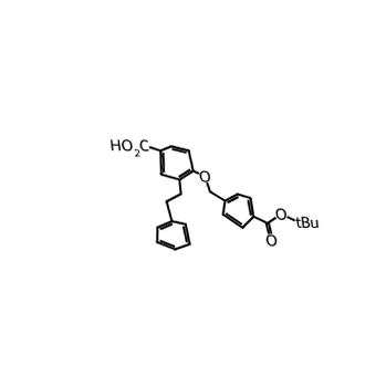 CC(C)(C)OC(=O)c1ccc(COc2ccc(C(=O)O)cc2CCc2ccccc2)cc1